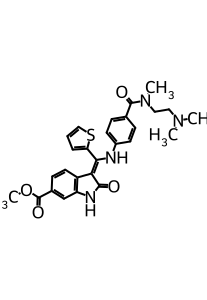 COC(=O)c1ccc2c(c1)NC(=O)/C2=C(\Nc1ccc(C(=O)N(C)CCN(C)C)cc1)c1cccs1